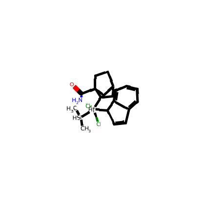 C[SiH](C)[Hf]([Cl])([Cl])([CH]1C=Cc2ccccc21)[CH]1CC2CCC1(C(N)=O)C2